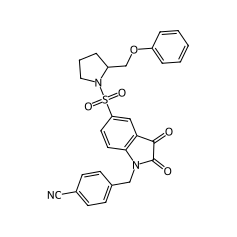 N#Cc1ccc(CN2C(=O)C(=O)c3cc(S(=O)(=O)N4CCCC4COc4ccccc4)ccc32)cc1